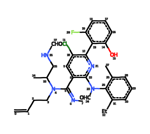 C=CCCN(/C(=N/C)c1cc(Cl)c(-c2c(O)cccc2F)nc1N(C=O)c1c(C)cccc1CC)C(C)CNC=O